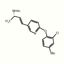 CC(=O)N[C@@H](C)/C=C/c1ccc(Oc2ccc(C(C)(C)C)cc2Cl)nc1